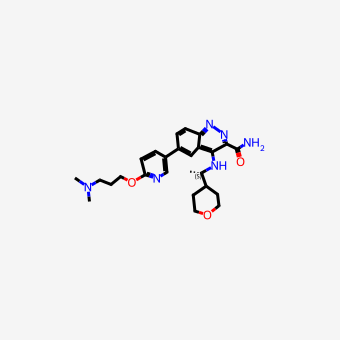 C[C@H](Nc1c(C(N)=O)nnc2ccc(-c3ccc(OCCCN(C)C)nc3)cc12)C1CCOCC1